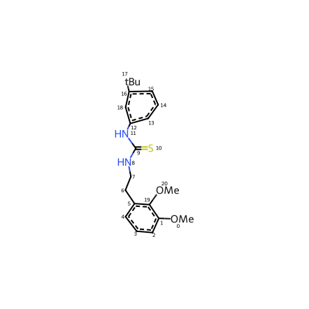 COc1cccc(CCNC(=S)Nc2cccc(C(C)(C)C)c2)c1OC